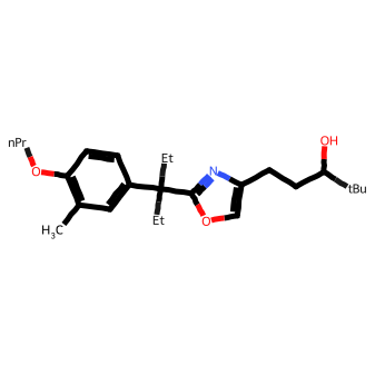 CCCOc1ccc(C(CC)(CC)c2nc(CCC(O)C(C)(C)C)co2)cc1C